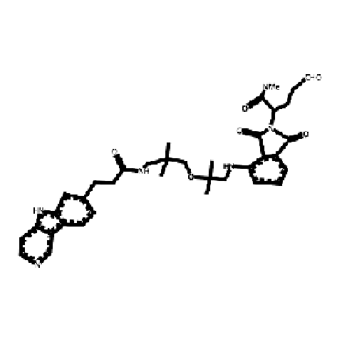 CNC(=O)C(CCC=O)N1C(=O)c2cccc(NCC(C)(C)OCC(C)(C)CNC(=O)CCc3ccc4c(c3)[nH]c3ccncc34)c2C1=O